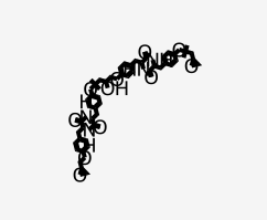 CC(C)(CC(O)COc1ccc(CC2NC(=O)C(Cc3ccc(OC(C)(C)CC4CO4)cc3)NC2=O)cc1)Oc1ccc(CC2NC(=O)C(Cc3ccc(OCC4CO4)cc3)NC2=O)cc1